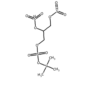 C[Si](C)(C)OS(=O)(=O)OCC(CO[SH](=O)=O)O[SH](=O)=O